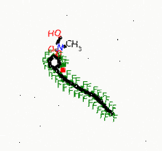 CCN(CCO)S(=O)(=O)C1(F)C(F)(F)C(F)(F)C(F)(C(F)(F)C(F)(F)C(F)(F)C(F)(F)C(F)(F)C(F)(F)C(F)(F)C(F)(F)C(F)(F)C(F)(F)C(F)(F)C(F)(F)F)C(F)(F)C1(F)F